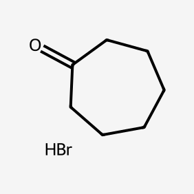 Br.O=C1CCCCCC1